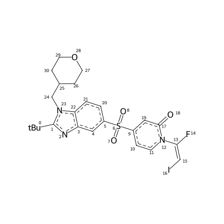 CC(C)(C)c1nc2cc(S(=O)(=O)c3ccn(/C(F)=C\I)c(=O)c3)ccc2n1CC1CCOCC1